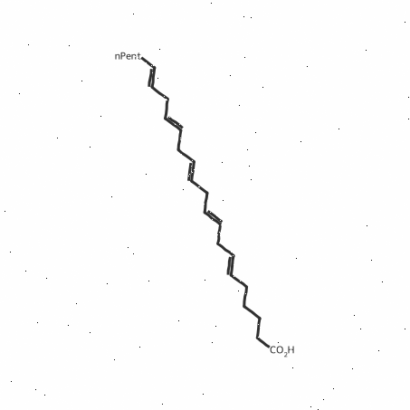 CCCCCC=CCC=CCC=CCC=CCC=CCCCCC(=O)O